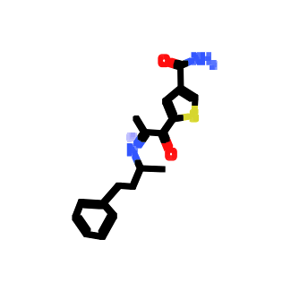 C/C(=N/C(C)CCc1ccccc1)C(=O)c1cc(C(N)=O)cs1